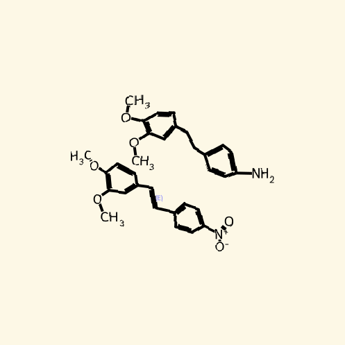 COc1ccc(/C=C/c2ccc([N+](=O)[O-])cc2)cc1OC.COc1ccc(CCc2ccc(N)cc2)cc1OC